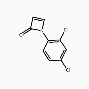 O=C1C=CN1c1ccc(Cl)cc1Cl